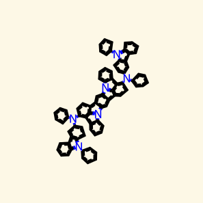 c1ccc(N(c2ccc3c(c2)c2ccccc2n3-c2ccccc2)c2ccc3c4cc5c(cc4n4c6ccccc6c2c34)c2ccc(N(c3ccccc3)c3ccc4c(c3)c3ccccc3n4-c3ccccc3)c3c4ccccc4n5c23)cc1